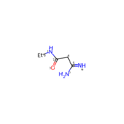 CCNC(=O)CC(=N)N